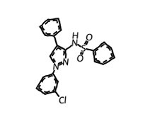 O=S(=O)(Nc1nn(-c2cccc(Cl)c2)cc1-c1ccccc1)c1ccccc1